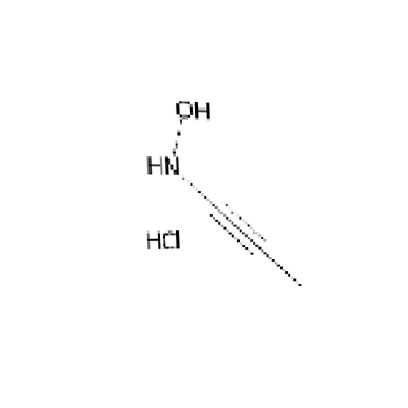 CC#CNO.Cl